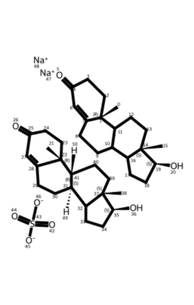 C[C@]12CCC(=O)C=C1CCC1C2CC[C@@]2(C)C1CC[C@@H]2O.C[C@]12CCC(=O)C=C1CC[C@@H]1C3CC[C@H](O)[C@@]3(C)CC[C@H]12.O=S(=O)([O-])[O-].[Na+].[Na+]